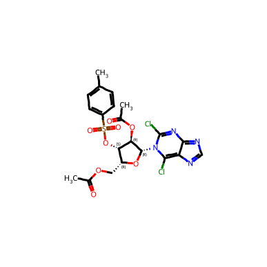 CC(=O)OC[C@H]1O[C@@H](n2c(Cl)nc3ncnc-3c2Cl)[C@H](OC(C)=O)[C@H]1OS(=O)(=O)c1ccc(C)cc1